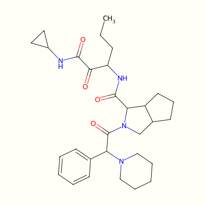 CCCC(NC(=O)C1C2CCCC2CN1C(=O)C(c1ccccc1)N1CCCCC1)C(=O)C(=O)NC1CC1